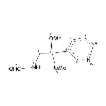 COC(CNC=O)(OC)c1cccnc1